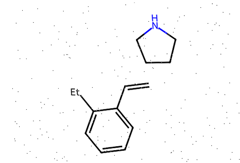 C1CCNC1.C=Cc1ccccc1CC